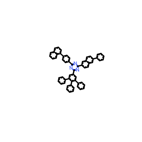 c1ccc(-c2ccc3cc(-c4nc(-c5ccc(-c6cccc7ccccc67)cc5)nc(-c5cc(-c6ccccc6)c(-c6ccccc6)c(-c6ccccc6)c5)n4)ccc3c2)cc1